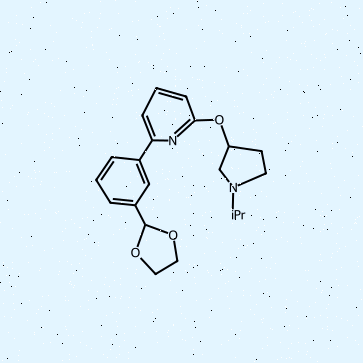 CC(C)N1CCC(Oc2cccc(-c3cccc(C4OCCO4)c3)n2)C1